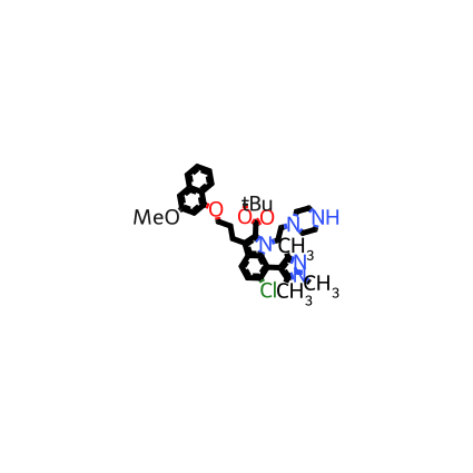 COc1cc(OCCCc2c(C(=O)OC(C)(C)C)n(CCN3CCNCC3)c3c(-c4c(C)nn(C)c4C)c(Cl)ccc23)c2ccccc2c1